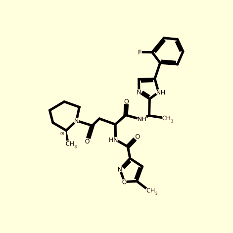 Cc1cc(C(=O)NC(CC(=O)N2CCCC[C@@H]2C)C(=O)NC(C)c2ncc(-c3ccccc3F)[nH]2)no1